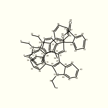 CCN(CC)c1ccc(C2(C=C(c3c(-c4ccccc4)n(CC)c4ccccc34)c3c(-c4ccccc4)n(CC)c4ccccc34)OC(=O)c3ccccc32)c(C)c1